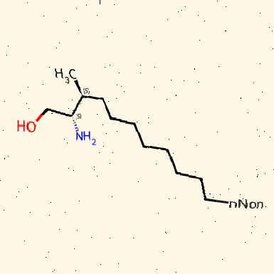 CCCCCCCCCCCCCCCCC[C@H](C)[C@H](N)CO